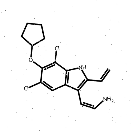 C=Cc1[nH]c2c(Cl)c(OC3CCCC3)c(Cl)cc2c1/C=C\N